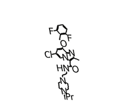 Cc1nc2c(OCc3c(F)cccc3F)cc(Cl)cn2c1C(=O)NCCN1CCN(C(C)C)CC1